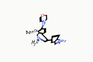 COc1c(N2CCOCC2)ccc2c1CN(C)CC2c1ccc2[nH]ncc2c1